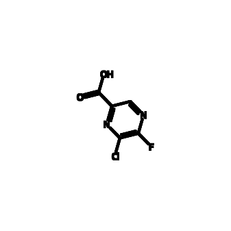 O=C(O)c1cnc(F)c(Cl)n1